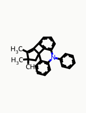 CC1=C2c3cccc4c3C2(CC1(C)C)c1ccccc1N4c1ccccc1